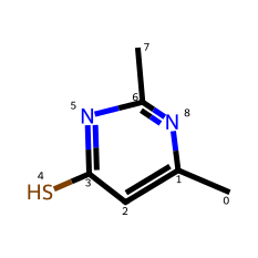 Cc1cc(S)nc(C)n1